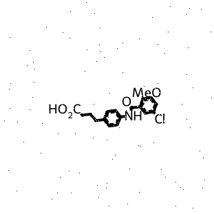 COc1ccc(Cl)cc1C(=O)Nc1ccc(CCCC(=O)O)cc1